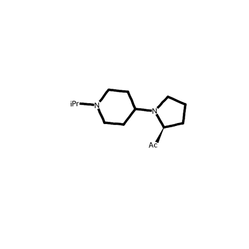 CC(=O)[C@@H]1CCCN1C1CCN(C(C)C)CC1